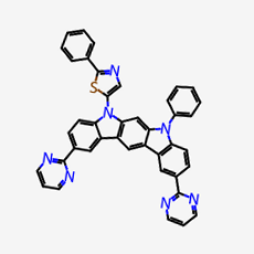 c1ccc(-c2ncc(-n3c4ccc(-c5ncccn5)cc4c4cc5c6cc(-c7ncccn7)ccc6n(-c6ccccc6)c5cc43)s2)cc1